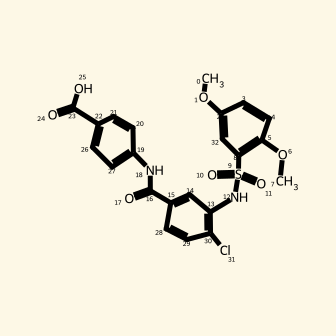 COc1ccc(OC)c(S(=O)(=O)Nc2cc(C(=O)Nc3ccc(C(=O)O)cc3)ccc2Cl)c1